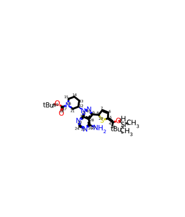 C[SiH](C)OC(=C1C=CC(c2nn([C@@H]3CCCN(C(=O)OC(C)(C)C)C3)c3ncnc(N)c23)S1)C(C)(C)C